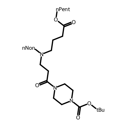 CCCCCCCCCN(CCCC(=O)OCCCCC)CCC(=O)N1CCN(C(=O)OC(C)(C)C)CC1